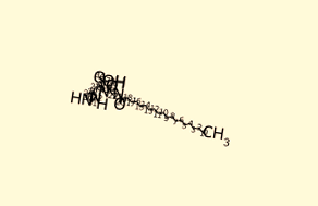 CCCCCCCCCCCCCCCCCCCC(=O)NCC(=O)N[C@@H](Cc1c[nH]cn1)C(=O)O